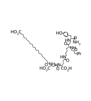 CC(C)CC(=O)CN[C@@H](CCCCNC(=O)CC[C@H](NC(=O)CC[C@H](NC(=O)CCCCCCCCCCCCCCCCCCC(=O)O)C(=O)O)C(=O)O)C(=O)CN[C@@H](Cc1ccc(O)cc1)C(N)=O